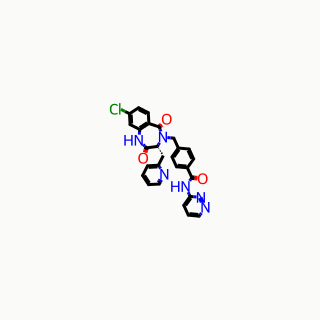 O=C(Nc1cccnn1)c1ccc(CN2C(=O)c3ccc(Cl)cc3NC(=O)[C@H]2Cc2ccccn2)cc1